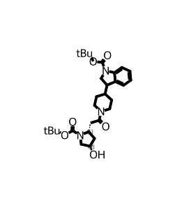 CC(C)(C)OC(=O)N1CC(C2CCN(C(=O)C[C@@H]3C[C@@H](O)CN3C(=O)OC(C)(C)C)CC2)c2ccccc21